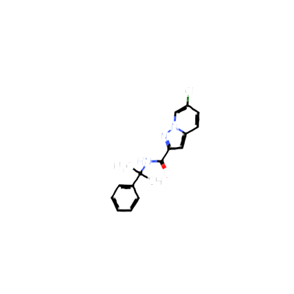 CC(C)(NC(=O)c1cc2ccc(Cl)cn2n1)c1ccccc1